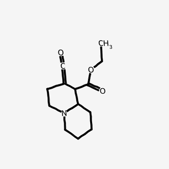 CCOC(=O)C1C(=C=O)CCN2CCCCC12